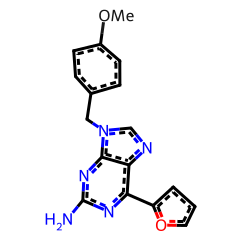 COc1ccc(Cn2cnc3c(-c4ccco4)nc(N)nc32)cc1